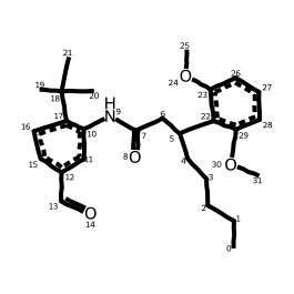 CCCCCC(CC(=O)Nc1cc(C=O)ccc1C(C)(C)C)c1c(OC)cccc1OC